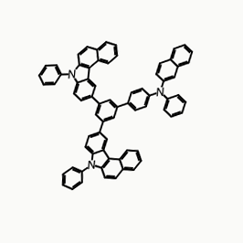 c1ccc(N(c2ccc(-c3cc(-c4ccc5c(c4)c4c6ccccc6ccc4n5-c4ccccc4)cc(-c4ccc5c(c4)c4c6ccccc6ccc4n5-c4ccccc4)c3)cc2)c2ccc3ccccc3c2)cc1